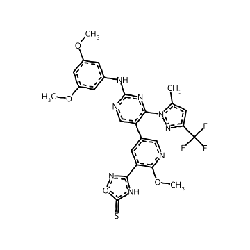 COc1cc(Nc2ncc(-c3cnc(OC)c(-c4noc(=S)[nH]4)c3)c(-n3nc(C(F)(F)F)cc3C)n2)cc(OC)c1